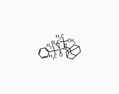 CC(C)(C)CC12CC3CC(C1)C(NS(=O)(=O)C(C)(C)c1ccccc1)C(C3)C2